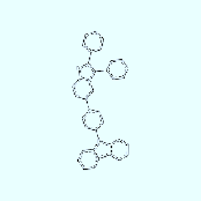 c1ccc(-c2nc3ccc(-c4ccc(-n5c6ccccc6c6ccccc65)cc4)cn3c2-c2ccccc2)cc1